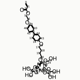 C=CC(=O)OCCOc1ccc(-c2ccc(OCCCCOP3(OCO)=NP(OCO)(OCO)=NP(OCO)(OCO)=N3)cc2)cc1